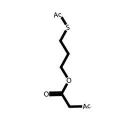 CC(=O)CC(=O)OCCCSC(C)=O